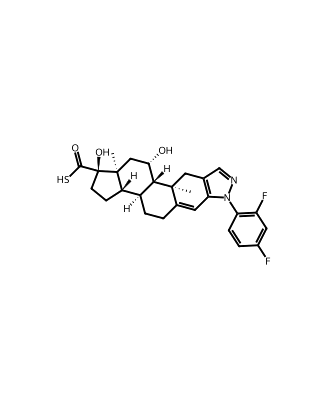 C[C@]12Cc3cnn(-c4ccc(F)cc4F)c3C=C1CC[C@@H]1[C@@H]2[C@@H](O)C[C@@]2(C)[C@H]1CC[C@]2(O)C(=O)S